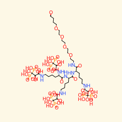 O=CCCCOCCOCCOCCOCCNC(=O)C(CCCCNC(=O)C(=O)C(O)(P(=O)(O)O)P(=O)(O)O)NC(=O)C(CCCCNC(=O)C(=O)C(O)(P(=O)(O)O)P(=O)(O)O)NC(=O)C(CCCCNC(=O)C(=O)C(O)(P(=O)(O)O)P(=O)(O)O)NC(=O)C(=O)C(O)(P(=O)(O)O)P(=O)(O)O